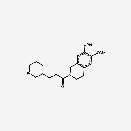 COc1cc2c(cc1OC)CN(C(=O)CCC1CCCNC1)CC2